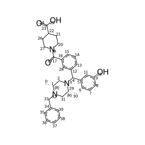 C[C@@H]1CN(C(c2cccc(O)c2)c2cccc(C(=O)N3CCC(C(=O)O)CC3)c2)[C@H](C)CN1Cc1ccccc1